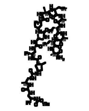 CC(C)C[C@@H](CNC(=O)N[C@@H](C)C(=O)N[C@@H](CC(C)C)C(=O)N[C@@H](C)C(=O)N[C@@H](CC(C)C)C(=O)N[C@@H](C)C(=O)N[C@@H](CC(C)C)C(=O)N[C@@H](C)C(N)=O)NC(=O)NC[C@H](C)NC(=O)NC[C@@H](NC(=O)N1C[C@@H](NC(=O)NC[C@H](C)NC(=O)NC[C@@H](NC(=O)OC(C)(C)C)C(C)C)CC1C)C(C)C